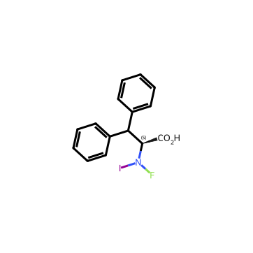 O=C(O)[C@H](C(c1ccccc1)c1ccccc1)N(F)I